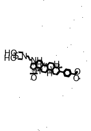 COC(=O)c1ccc(C2=CC[C@]3(C)[C@H]4CC[C@@H]5[C@H]6[C@H](C(C)(C)OC)CC[C@]6(NCCN6CCS(O)(O)CC6)CC[C@@]5(C)[C@]4(C)CC[C@H]3C2(C)C)cc1